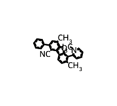 Cc1ccc2c(oc3c(C)cc(-c4ccccc4)c(C#N)c32)c1-c1cccc[n+]1C